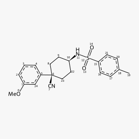 COc1cccc([C@]2(C#N)CC[C@@H](NS(=O)(=O)c3ccc(C)cc3)CC2)c1